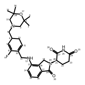 CC1(C)CN(CC2C=C(F)C(CNc3cccc4c3CN([C@@H]3CCC(=O)NC3=O)C4=O)=CC2)CC(C)(C)O1